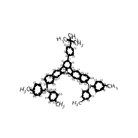 Cc1ccc(N(c2ccc(C)cc2)c2ccc3cc4c5cc(-c6ccc(C(C)(C)C)cc6)cc6c7cc8ccc(N(c9ccc(C)cc9)c9ccc(C)cc9)cc8cc7n(c4cc3c2)c56)cc1